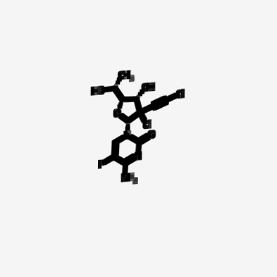 C[C@@H](O)[C@H]1O[C@@H](n2cc(F)c(N)nc2=O)C(Cl)(C#CCl)[C@H]1O